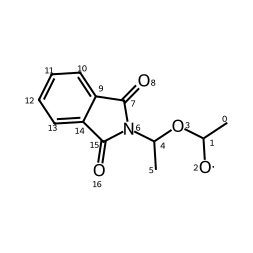 CC([O])OC(C)N1C(=O)c2ccccc2C1=O